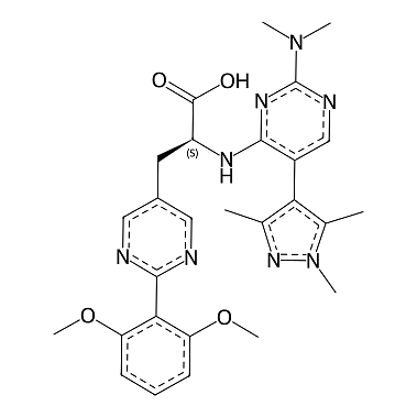 COc1cccc(OC)c1-c1ncc(C[C@H](Nc2nc(N(C)C)ncc2-c2c(C)nn(C)c2C)C(=O)O)cn1